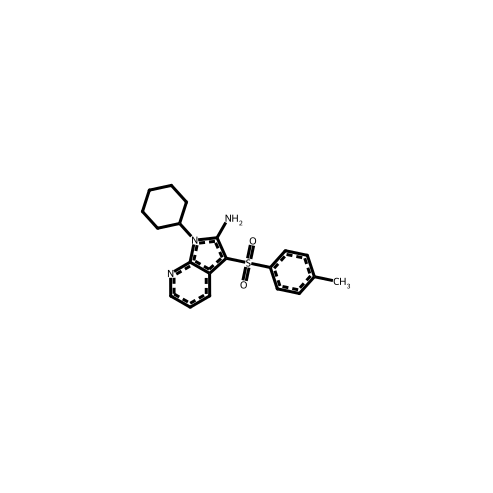 Cc1ccc(S(=O)(=O)c2c(N)n(C3CCCCC3)c3ncccc23)cc1